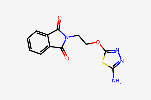 Nc1nnc(OCCN2C(=O)c3ccccc3C2=O)s1